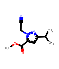 COC(=O)c1cc(C(C)C)nn1CC#N